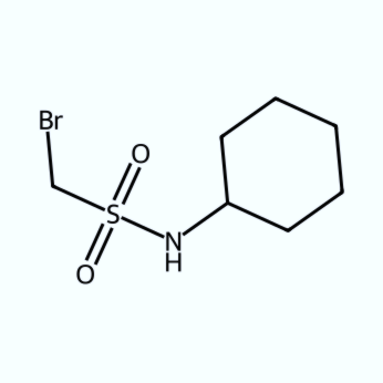 O=S(=O)(CBr)NC1CCCCC1